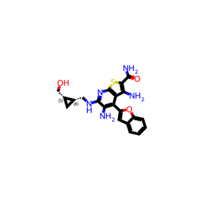 NC(=O)c1sc2nc(NC[C@@H]3C[C@@H]3CO)c(N)c(-c3cc4ccccc4o3)c2c1N